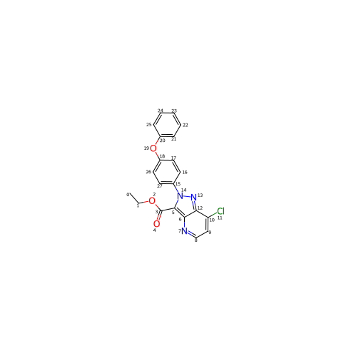 CCOC(=O)c1c2nccc(Cl)c2nn1-c1ccc(Oc2ccccc2)cc1